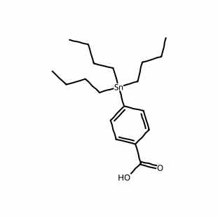 CCC[CH2][Sn]([CH2]CCC)([CH2]CCC)[c]1ccc(C(=O)O)cc1